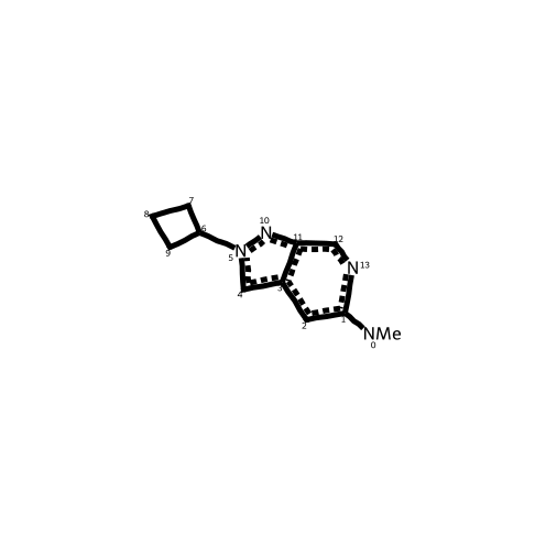 CNc1cc2cn(C3CCC3)nc2cn1